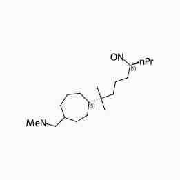 CCC[C@@H](CCCC(C)(C)[C@H]1CCCC(CNC)CC1)N=O